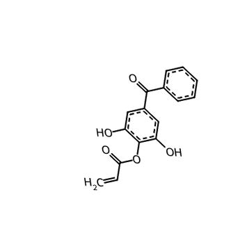 C=CC(=O)Oc1c(O)cc(C(=O)c2ccccc2)cc1O